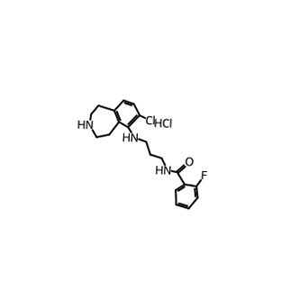 Cl.O=C(NCCCNc1c(Cl)ccc2c1CCNCC2)c1ccccc1F